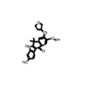 CC(C)Oc1cc2c(cc1OC1CCOC1)C(C)(C)c1[nH]c3cc(C#N)ccc3c1C2=O